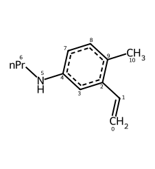 C=Cc1cc(NCCC)ccc1C